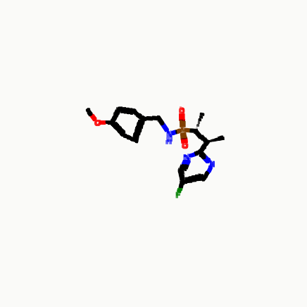 COc1ccc(CNS(=O)(=O)[C@H](C)[C@@H](C)c2ncc(F)cn2)cc1